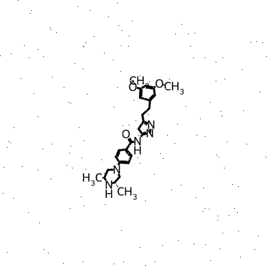 COc1cc(CCC2=NN=C(NC(=O)c3ccc(N4C[C@@H](C)N[C@@H](C)C4)cc3)C2)cc(OC)c1